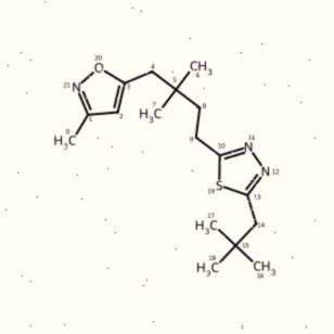 Cc1cc(CC(C)(C)CCc2nnc(CC(C)(C)C)s2)on1